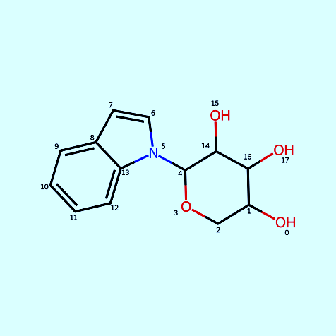 OC1COC(n2ccc3ccccc32)C(O)C1O